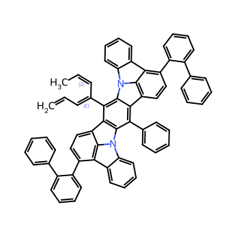 C=C/C=C(\C=C/C)c1c2c3ccc(-c4ccccc4-c4ccccc4)c4c5ccccc5n(c2c(-c2ccccc2)c2c5ccc(-c6ccccc6-c6ccccc6)c6c7ccccc7n(c12)c56)c34